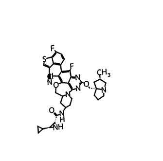 C[C@H]1CN2CCC[C@@]2(COc2nc3c4c(c(Cl)c(-c5ccc(F)c6scc(C#N)c56)c(F)c4n2)OCC2CC(NC(=O)[C@@H]4N[C@H]4C4CC4)CCN32)C1